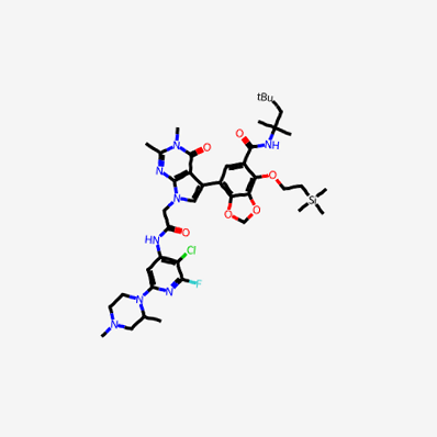 Cc1nc2c(c(-c3cc(C(=O)NC(C)(C)CC(C)(C)C)c(OCC[Si](C)(C)C)c4c3OCO4)cn2CC(=O)Nc2cc(N3CCN(C)CC3C)nc(F)c2Cl)c(=O)n1C